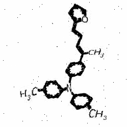 CC(=CC=Cc1ccco1)c1ccc(N(c2ccc(C)cc2)c2ccc(C)cc2)cc1